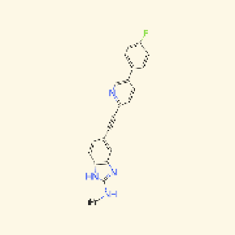 CC(C)Nc1nc2cc(C#Cc3ccc(-c4ccc(F)cc4)cn3)ccc2[nH]1